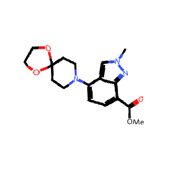 COC(=O)c1ccc(N2CCC3(CC2)OCCO3)c2cn(C)nc12